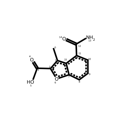 Cc1c(C(=O)O)oc2cccc(C(N)=O)c12